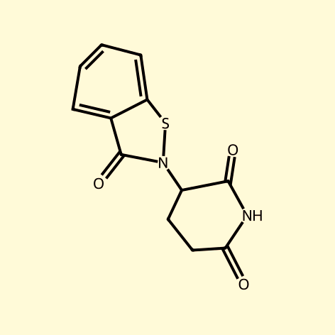 O=C1CCC(n2sc3ccccc3c2=O)C(=O)N1